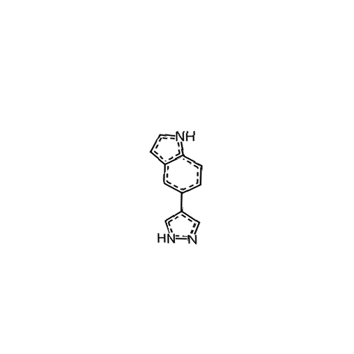 c1cc2cc(-c3cn[nH]c3)ccc2[nH]1